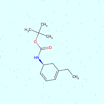 CCC1=CC=C[C@@H](NC(=O)OC(C)(C)C)C1